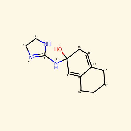 OC1(NC2=NCCN2)C=C2CCCCC2=CC1